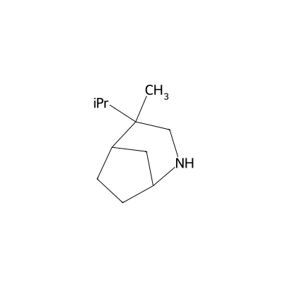 CC(C)C1(C)CNC2CCC1C2